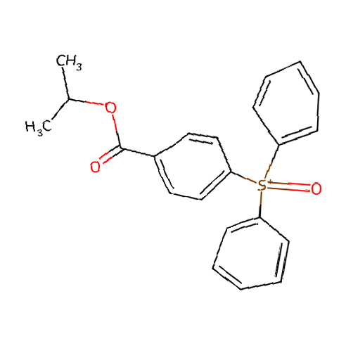 CC(C)OC(=O)c1ccc([S+](=O)(c2ccccc2)c2ccccc2)cc1